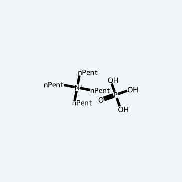 CCCCC[N+](CCCCC)(CCCCC)CCCCC.O=P(O)(O)O